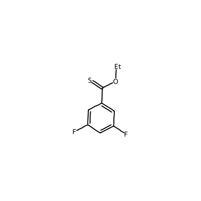 CCOC(=S)c1cc(F)cc(F)c1